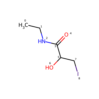 CCNC(=O)C(O)CI